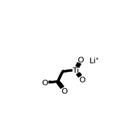 O=C([O-])[CH2][Ti](=[O])=[O].[Li+]